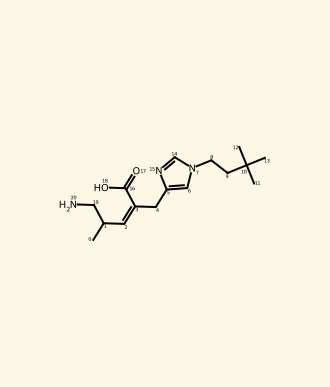 CC(/C=C(/Cc1cn(CCC(C)(C)C)cn1)C(=O)O)CN